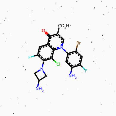 Nc1cc(-n2cc(C(=O)O)c(=O)c3cc(F)c(N4CC(N)C4)c(Cl)c32)c(Br)cc1F